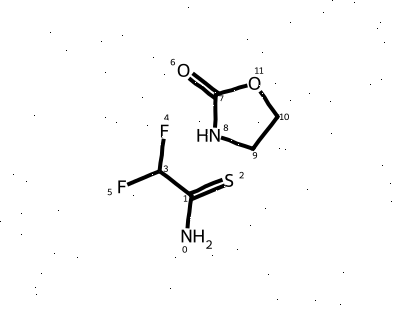 NC(=S)C(F)F.O=C1NCCO1